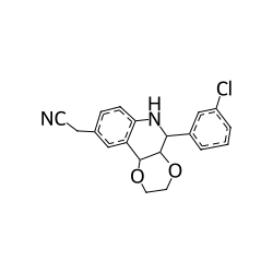 N#CCc1ccc2c(c1)C1OCCOC1C(c1cccc(Cl)c1)N2